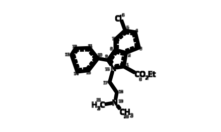 CCOC(=O)c1c2ccc(Cl)cc2c(-c2ccccc2)n1CCN(C)C